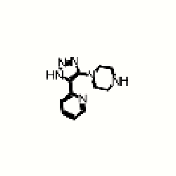 c1ccc(-c2[nH]nnc2N2CCNCC2)nc1